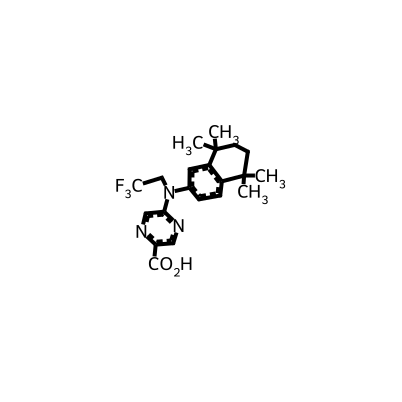 CC1(C)CCC(C)(C)c2cc(N(CC(F)(F)F)c3cnc(C(=O)O)cn3)ccc21